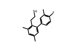 Cc1cc(C)c(CCS)c(-c2ccc(F)c(C)c2)c1